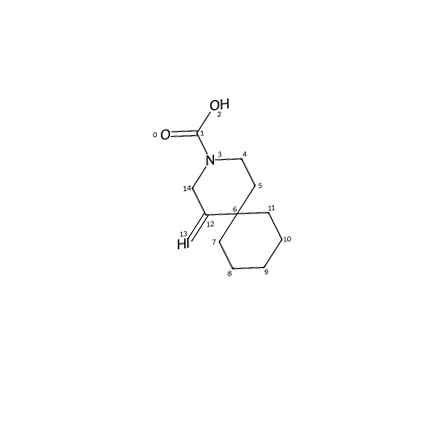 O=C(O)N1CCC2(CCCCC2)C(=[IH])C1